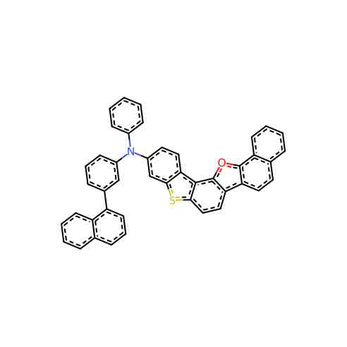 c1ccc(N(c2cccc(-c3cccc4ccccc34)c2)c2ccc3c(c2)sc2ccc4c5ccc6ccccc6c5oc4c23)cc1